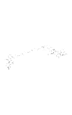 Cc1cc(Nc2ncc(Cl)c(Nc3ccccc3S(=O)(=O)C(C)C)n2)c(OC(C)C)cc1C1CCN(CCOCCOCCOCCOCCOCCOc2cccc3c2C(=O)N(C2CCC(=O)NC2=O)C3=O)CC1